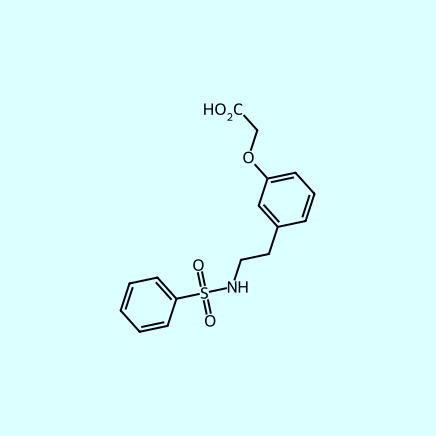 O=C(O)COc1cccc(CCNS(=O)(=O)c2ccccc2)c1